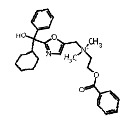 C[N+](C)(CCOC(=O)c1ccccc1)Cc1cnc(C(O)(c2ccccc2)C2CCCCC2)o1